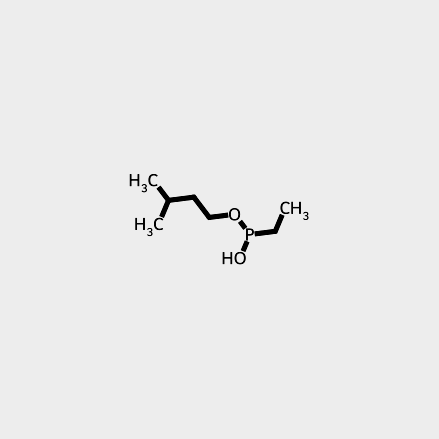 CCP(O)OCCC(C)C